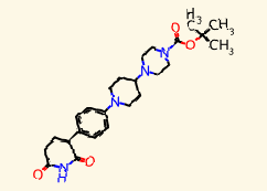 CC(C)(C)OC(=O)N1CCN(C2CCN(c3ccc([C@@H]4CCC(=O)NC4=O)cc3)CC2)CC1